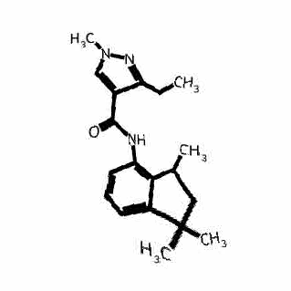 CCc1nn(C)cc1C(=O)Nc1cccc2c1C(C)CC2(C)C